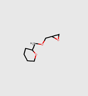 C1CCC([SiH2]OCC2CO2)OC1